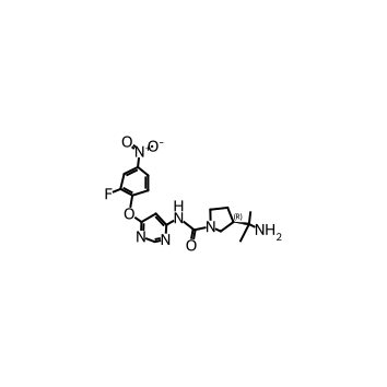 CC(C)(N)[C@@H]1CCN(C(=O)Nc2cc(Oc3ccc([N+](=O)[O-])cc3F)ncn2)C1